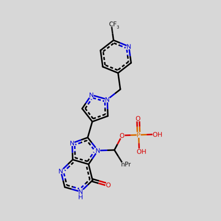 CCCC(OP(=O)(O)O)n1c(-c2cnn(Cc3ccc(C(F)(F)F)nc3)c2)nc2nc[nH]c(=O)c21